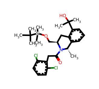 C[C@H]1c2cccc(C(C)(C)O)c2C[C@H](CO[Si](C)(C)C(C)(C)C)N1C(=O)Cc1c(Cl)cccc1Cl